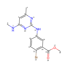 CNc1cc(C)nc(Nc2ccc(Br)c(C(=O)OC)c2)n1